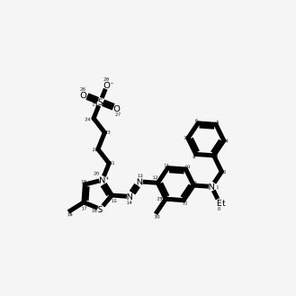 CCN(Cc1ccccc1)c1ccc(/N=N/c2sc(C)c[n+]2CCCCS(=O)(=O)[O-])c(C)c1